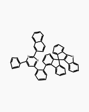 c1ccc(-c2cc(-c3ccccc3-c3cccc4c3-c3ccccc3C43c4ccccc4-c4sc5ccccc5c43)nc(-c3ccc4ccccc4c3)n2)cc1